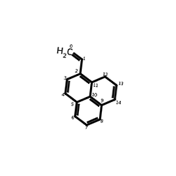 C=Cc1ccc2cccc3c2c1CC=C3